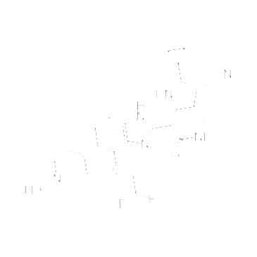 CN1CCC(c2ccc3[nH]c(-c4c(=O)[nH]cc5c(C#N)c(C6CC6)[nH]c45)nc3c2OCC(F)F)CC1